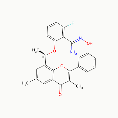 Cc1cc([C@@H](C)Oc2cccc(F)c2C(N)=NO)c2oc(-c3ccccc3)c(C)c(=O)c2c1